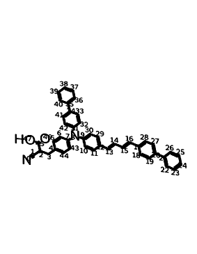 N#CC(Cc1ccc(N(c2ccc(/C=C/C=C/c3ccc(-c4ccccc4)cc3)cc2)c2ccc(-c3ccccc3)cc2)cc1)C(=O)O